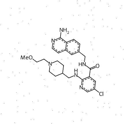 COCCN1CCC(CNc2ncc(Cl)cc2C(=O)NCc2ccc3c(N)nccc3c2)CC1